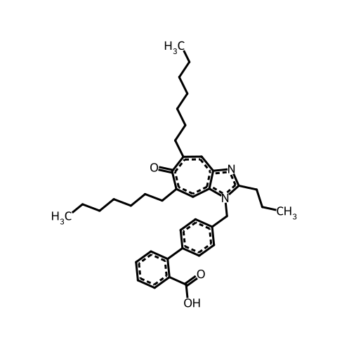 CCCCCCCc1cc2nc(CCC)n(Cc3ccc(-c4ccccc4C(=O)O)cc3)c2cc(CCCCCCC)c1=O